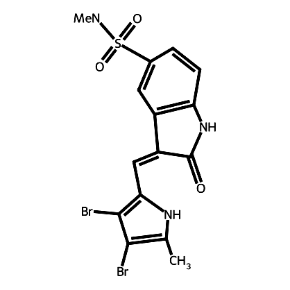 CNS(=O)(=O)c1ccc2c(c1)C(=Cc1[nH]c(C)c(Br)c1Br)C(=O)N2